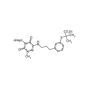 CCCCCCCn1c(=O)c(NCCCc2cccc(SC(C)(C)C(=O)OCC)c2)nn(C)c1=O